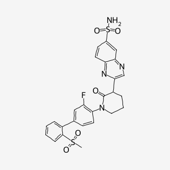 CS(=O)(=O)c1ccccc1-c1ccc(N2CCCC(c3cnc4cc(S(N)(=O)=O)ccc4n3)C2=O)c(F)c1